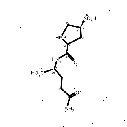 NC(=O)CC[C@H](NC(=O)[C@@H]1C[C@H](S(=O)(=O)O)CN1)C(=O)O